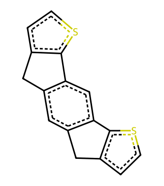 c1cc2c(s1)-c1cc3c(cc1C2)Cc1ccsc1-3